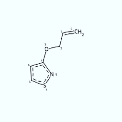 C=CCOc1ccsn1